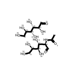 CC(=O)N[C@@H](C=O)[C@@H](O)[C@@H](O)[C@H](O)CO.O=C[C@H](O)[C@@H](O)[C@H](O)[C@H](O)CO